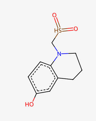 O=[SH](=O)CN1CCCc2cc(O)ccc21